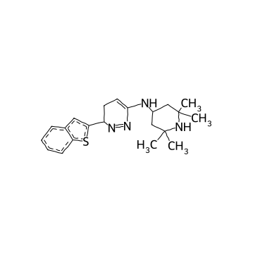 CC1(C)CC(NC2=CCC(c3cc4ccccc4s3)N=N2)CC(C)(C)N1